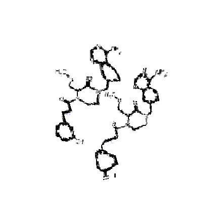 COCC1C(=O)N(Cc2ccc3c(N)ncnc3c2)CCN1C(=O)/C=C/c1ccc(O)cc1.COCC1C(=O)N(Cc2ccc3c(N)ncnc3c2)CCN1C(=O)/C=C/c1cccc(O)c1